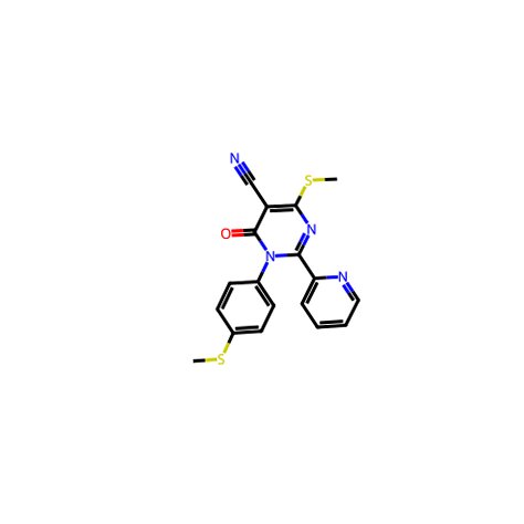 CSc1ccc(-n2c(-c3ccccn3)nc(SC)c(C#N)c2=O)cc1